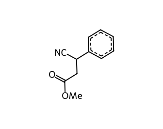 COC(=O)CC(C#N)c1ccccc1